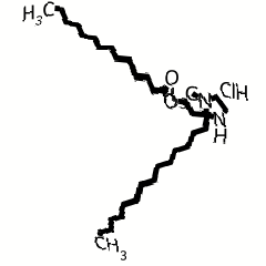 CCCCCCCCCCCCCCCC1(CCOC(=O)CCCCCCCCCCCCC)NCCN1C.Cl